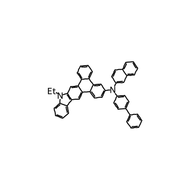 CCn1c2ccccc2c2cc3c4ccc(N(c5ccc(-c6ccccc6)cc5)c5ccc6ccccc6c5)cc4c4ccccc4c3cc21